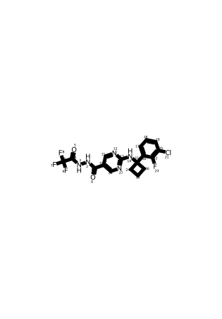 O=C(NNC(=O)C(F)(F)F)c1cnc(NC2(c3cccc(Cl)c3F)CCC2)nc1